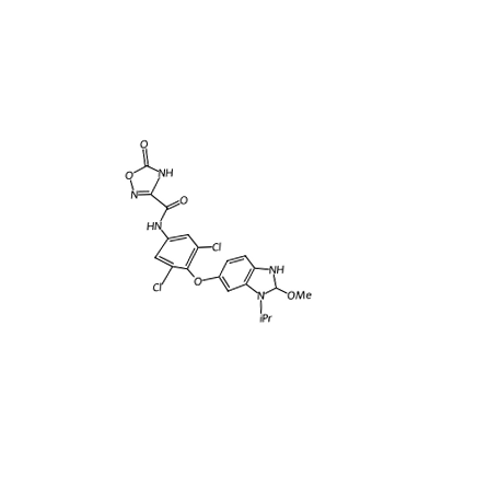 COC1Nc2ccc(Oc3c(Cl)cc(NC(=O)c4noc(=O)[nH]4)cc3Cl)cc2N1C(C)C